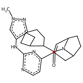 Cn1cc(Nc2nccc(C3=CC4CCC(C3)N4C(=O)C3CCC4CC3C4)n2)cn1